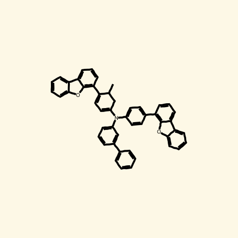 CC1CC(N(c2ccc(-c3cccc4c3oc3ccccc34)cc2)c2cccc(-c3ccccc3)c2)=CC=C1c1cccc2c1oc1ccccc12